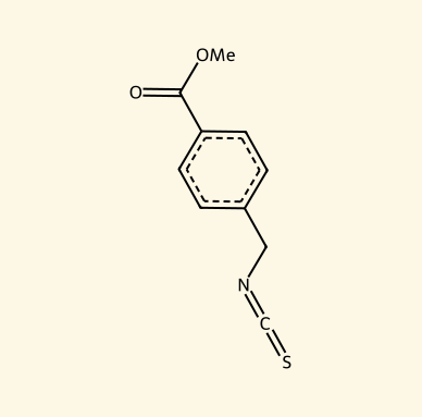 COC(=O)c1ccc(CN=C=S)cc1